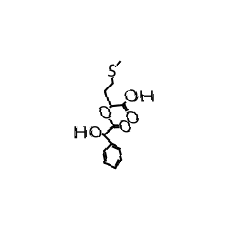 CSCCC(OC(=O)C(O)c1ccccc1)C(=O)O